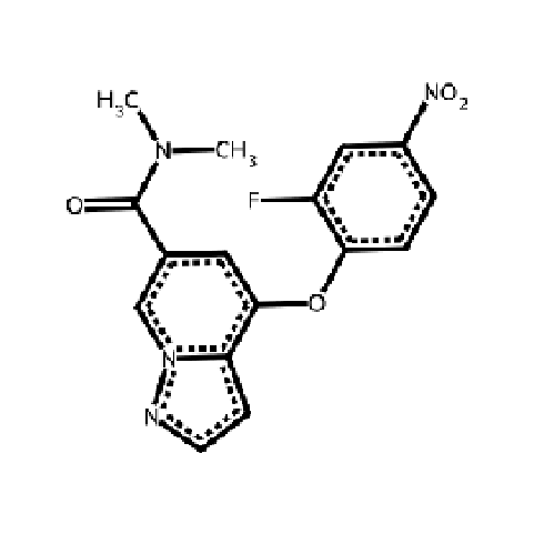 CN(C)C(=O)c1cc(Oc2ccc([N+](=O)[O-])cc2F)c2ccnn2c1